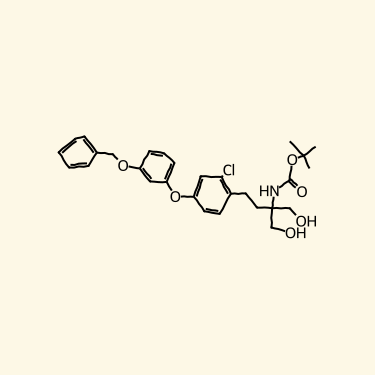 CC(C)(C)OC(=O)NC(CO)(CO)CCc1ccc(Oc2cccc(OCc3ccccc3)c2)cc1Cl